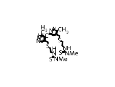 CNC(=S)NCCSCc1cc(C)nnc1C.CNC(=S)NCCSCc1cnnc(C)c1